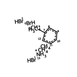 Br.Br.Br.C.C.C.Cc1ccccc1.N